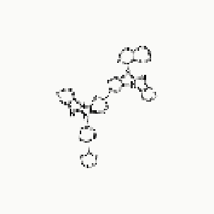 c1ccc(-c2ccc(-n3c4ccc(-c5ccc6c(c5)n5c7ccccc7nc5n6-c5cccc6ccccc56)cc4n4c5ccccc5nc34)cc2)cc1